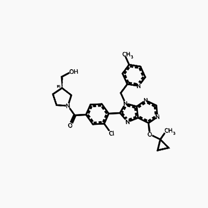 Cc1ccnc(Cn2c(-c3ccc(C(=O)N4CC[C@@H](CO)C4)cc3Cl)nc3c(OC4(C)CC4)ncnc32)c1